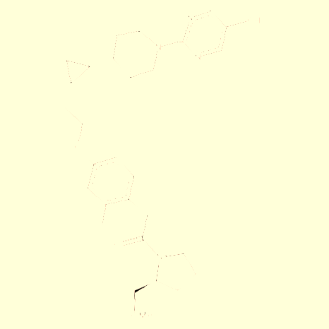 COC[C@@H]1CCCN1C(=O)Cc1ccc(OCC[C@@H]2C[C@@H]2C2CCN(c3ncc(C)cn3)CC2)cc1F